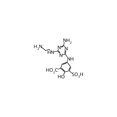 NCCNc1nc(N)nc(Nc2cc(C(=O)O)c(O)c(S(=O)(=O)O)c2)n1